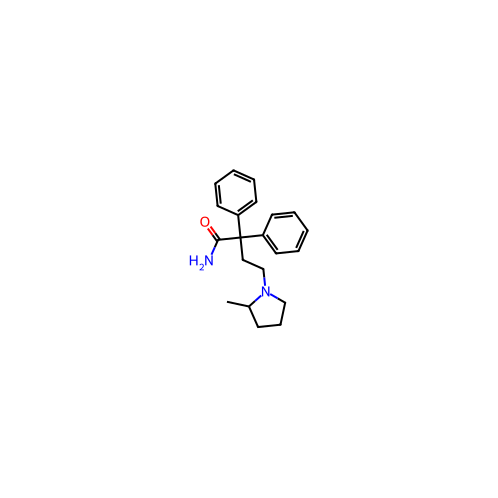 CC1CCCN1CCC(C(N)=O)(c1ccccc1)c1ccccc1